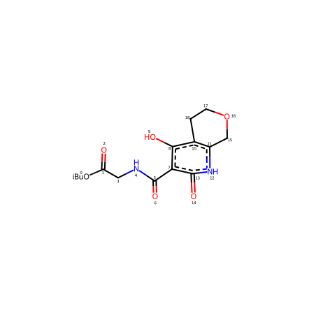 CC(C)COC(=O)CNC(=O)c1c(O)c2c([nH]c1=O)COCC2